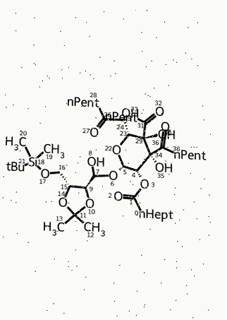 CCCCCCCC(=O)O[C@@H]1[C@H](OC(O)[C@H]2OC(C)(C)O[C@@H]2CO[Si](C)(C)C(C)(C)C)O[C@H](C(O)C(=O)CCCCC)[C@](O)(C(=O)CCCCC)[C@@]1(O)C(=O)CCCCC